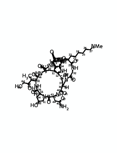 CC[C@H](C)[C@@H]1NC(=O)CNC(=O)[C@@H]2Cc3c4[nH]c5cc(ccc35)OC1(CCCCCCNC)C(=O)NCC(=O)N[C@@H](C[S+]4[O-])C(=O)N[C@@H](CC(N)=O)C(=O)N1C[C@H](O)C[C@H]1C(=O)N[C@@H]([C@@H](C)[C@@H](O)CO)C(=O)N2